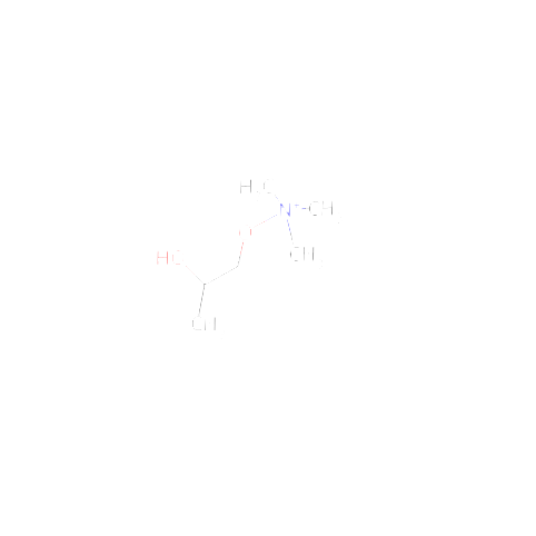 CC(O)CO[N+](C)(C)C